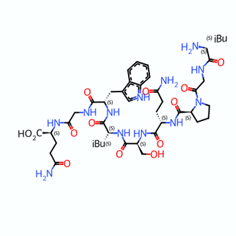 CC[C@H](C)[C@H](N)C(=O)NCC(=O)N1CCC[C@H]1C(=O)N[C@@H](CCC(N)=O)C(=O)N[C@@H](CO)C(=O)N[C@H](C(=O)N[C@@H](Cc1c[nH]c2ccccc12)C(=O)NCC(=O)N[C@@H](CCC(N)=O)C(=O)O)[C@@H](C)CC